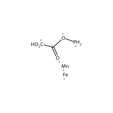 O=C(O)C(=O)OP.[Fe].[Mn]